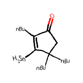 CCCCC1=[C]([SnH3])C(CCCC)(CCCC)CC1=O